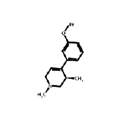 CC(C)Oc1cccc(C2=CCN(C)C[C@@H]2C)c1